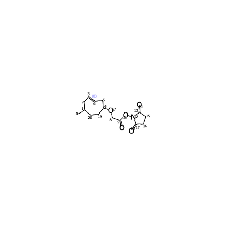 CC1C/C=C/CC(OCC(=O)ON2C(=O)CCC2=O)CC1